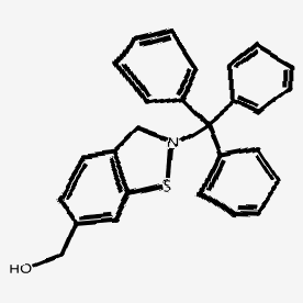 OCc1ccc2c(c1)SN(C(c1ccccc1)(c1ccccc1)c1ccccc1)C2